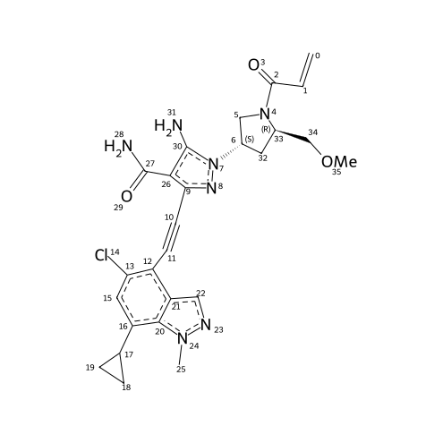 C=CC(=O)N1C[C@@H](n2nc(C#Cc3c(Cl)cc(C4CC4)c4c3cnn4C)c(C(N)=O)c2N)C[C@@H]1COC